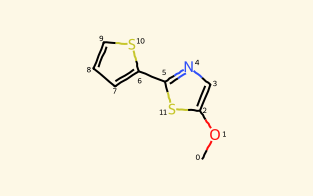 COc1cnc(-c2cccs2)s1